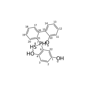 Oc1ccc(O)c([PH]2(S)Oc3ccccc3-c3ccccc32)c1